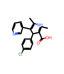 CC1=C(C(=O)O)C(c2ccc(Cl)cc2)C(c2cccnc2)=C(C)N1